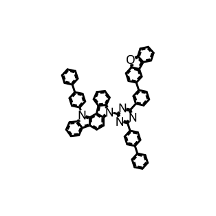 c1ccc(-c2ccc(-c3nc(-c4cccc(-c5ccc6oc7ccccc7c6c5)c4)nc(-n4c5ccccc5c5c4ccc4c6ccccc6n(-c6ccc(-c7ccccc7)cc6)c45)n3)cc2)cc1